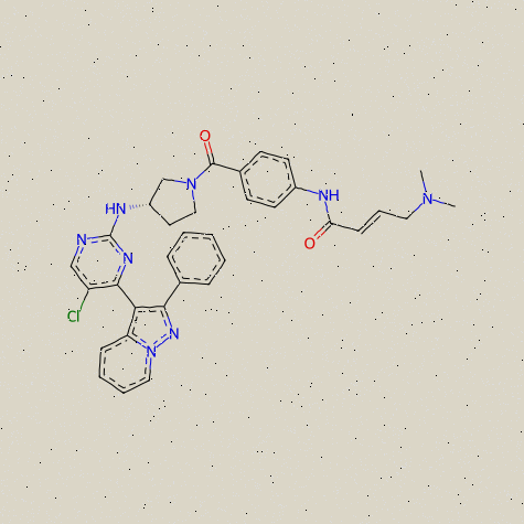 CN(C)C/C=C/C(=O)Nc1ccc(C(=O)N2CC[C@H](Nc3ncc(Cl)c(-c4c(-c5ccccc5)nn5ccccc45)n3)C2)cc1